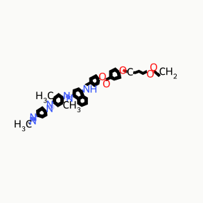 C=CC(=O)OCCCCCCOc1ccc(C(=O)Oc2ccc(CNc3ccc(/N=N/c4cc(C)c(/N=N/c5ccc(/N=N/C)cc5)cc4C)c4ccccc34)cc2)cc1